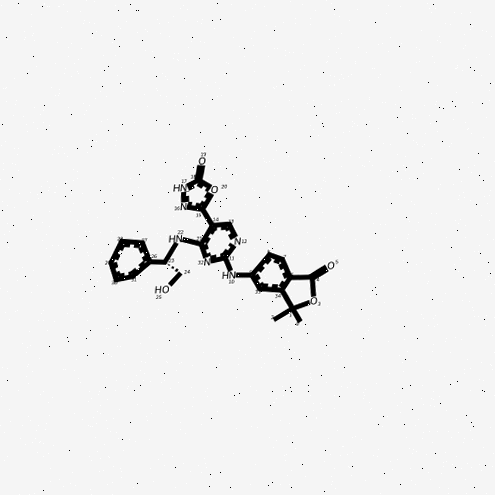 CC1(C)OC(=O)c2ccc(Nc3ncc(-c4n[nH]c(=O)o4)c(N[C@H](CO)c4ccccc4)n3)cc21